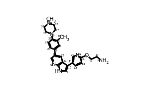 Cc1cc(-c2cnc3[nH]cc(-c4ccc(OCCN)nc4)c3c2)ccc1N1CCN(C)CC1